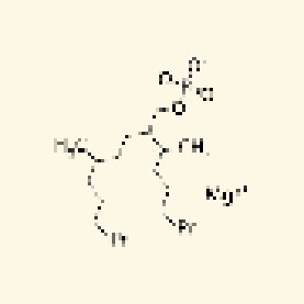 CC(C)CCCC(C)CCC(COP(=O)([O-])[O-])C(C)CCCC(C)C.[Mg+2]